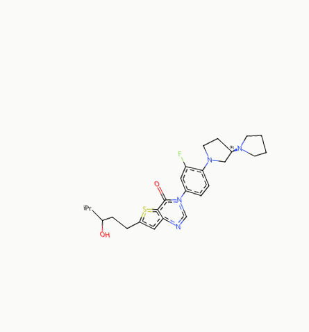 CC(C)C(O)CCc1cc2ncn(-c3ccc(N4CC[C@@H](N5CCCC5)C4)c(F)c3)c(=O)c2s1